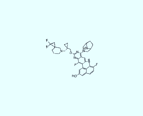 C#Cc1c(F)ccc2cc(O)cc(-c3c(C)cc4c(N5CC6CCC(C5)N6)nc(OCC5(CN6CCCC7(C6)CC7(F)F)CC5)nc4c3F)c12